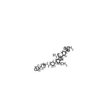 Cc1nc(-c2ccc(CCN3CCC(N4CCOCC4)CC3)cc2)cc2c1nc(-c1ccc(S(C)(=O)=O)cc1)n2C